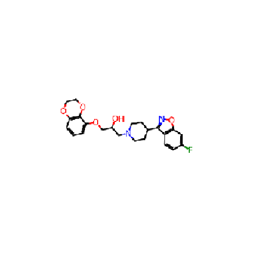 OC(COc1cccc2c1OCCO2)CN1CCC(c2noc3cc(F)ccc23)CC1